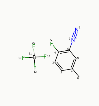 Cc1ccc(F)c([N+]#N)c1.F[B-](F)(F)F